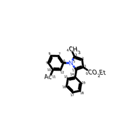 CCOC(=O)c1cc(C)n(-c2cccc(C(C)=O)c2)c1-c1ccccc1